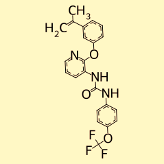 C=C(C)c1cccc(Oc2ncccc2NC(=O)Nc2ccc(OC(F)(F)F)cc2)c1